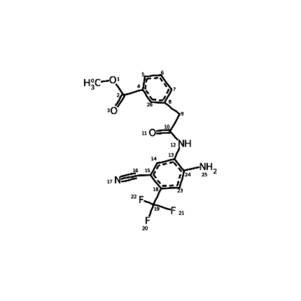 COC(=O)c1cccc(CC(=O)Nc2cc(C#N)c(C(F)(F)F)cc2N)c1